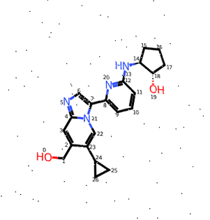 OCc1cc2ncc(-c3cccc(N[C@H]4CCC[C@@H]4O)n3)n2cc1C1CC1